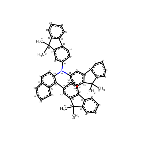 CC1(C)c2ccccc2-c2cc(N(c3ccc4c(c3)C(C)(C)c3ccccc3-4)c3ccc4ccccc4c3-c3ccc4c(c3)C(C)(C)c3ccccc3-4)ccc21